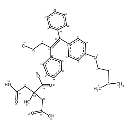 CN(C)CCOc1ccc(C(=C(CCCl)c2ccccc2)c2ccccc2)cc1.O=C(O)CC(O)(CC(=O)O)C(=O)O